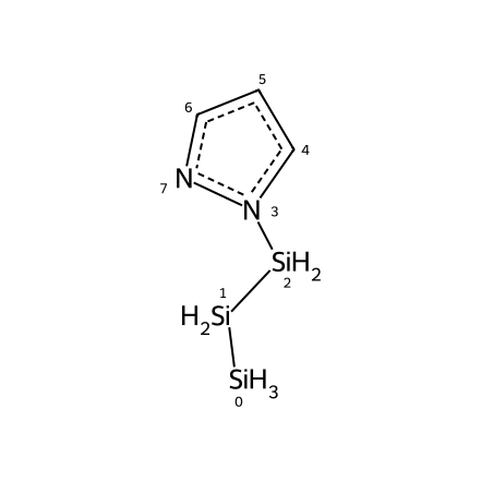 [SiH3][SiH2][SiH2]n1cccn1